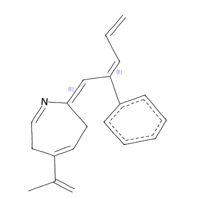 C=C/C=C(\C=C1/CC=C(C(=C)C)CC=N1)c1ccccc1